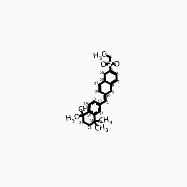 CCS(=O)(=O)C1=CC=C2CC(=Cc3ccc4c(c3)C(C)(C)CCC4(C)C)C=CC2C1